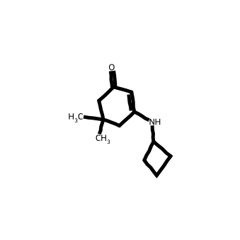 CC1(C)CC(=O)C=C(NC2CCC2)C1